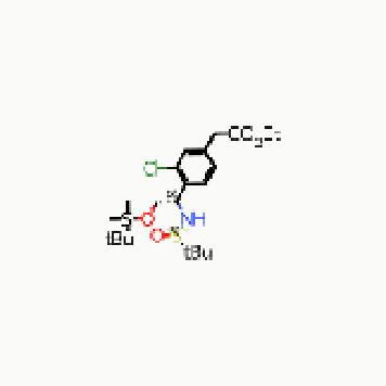 CCOC(=O)Cc1ccc([C@@H](CO[Si](C)(C)C(C)(C)C)N[S@@+]([O-])C(C)(C)C)c(Cl)c1